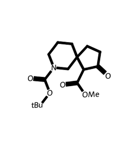 COC(=O)C1C(=O)CCC12CCCN(C(=O)OC(C)(C)C)C2